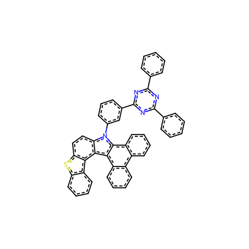 c1ccc(-c2nc(-c3ccccc3)nc(-c3cccc(-n4c5ccc6sc7ccccc7c6c5c5c6ccccc6c6ccccc6c54)c3)n2)cc1